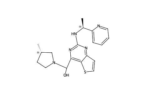 C[C@H]1CCN(C(O)c2nc(N[C@@H](C)c3ccccn3)nc3ccsc23)C1